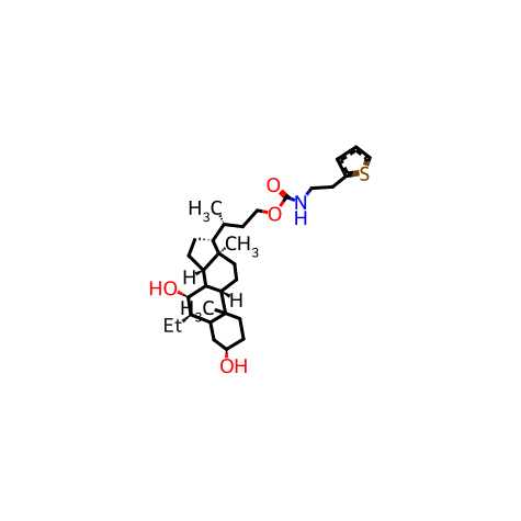 CC[C@@H]1C2C[C@H](O)CCC2(C)[C@H]2CC[C@]3(C)[C@@H]([C@H](C)CCOC(=O)NCCc4cccs4)CC[C@H]3C2[C@@H]1O